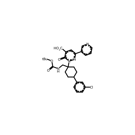 CC(C)(C)OC(=O)NCC1(n2nc(-c3cccnc3)cc(C(=O)O)c2=O)CCC(c2cccc(Cl)c2)CC1